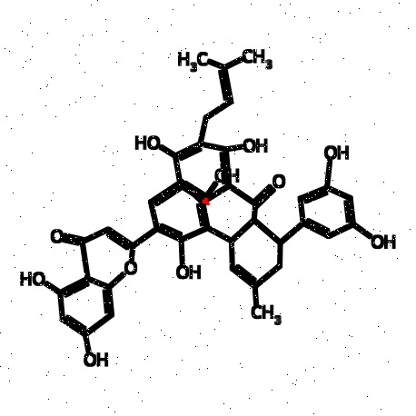 CC(C)=CCc1c(O)ccc(C(=O)C2C(c3c(O)ccc(-c4cc(=O)c5c(O)cc(O)cc5o4)c3O)C=C(C)CC2c2cc(O)cc(O)c2)c1O